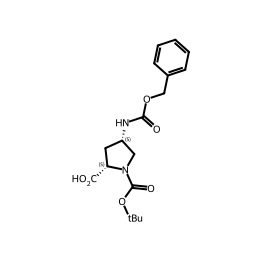 CC(C)(C)OC(=O)N1C[C@@H](NC(=O)OCc2ccccc2)C[C@H]1C(=O)O